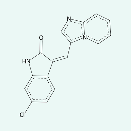 O=C1Nc2cc(Cl)ccc2/C1=C/c1cnc2ccccn12